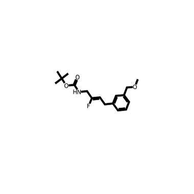 COCc1cccc(CC=C(F)CNC(=O)OC(C)(C)C)c1